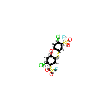 O=S(=O)(F)c1cc2c(cc1Cl)Oc1cc(Cl)c(S(=O)(=O)F)cc1S2